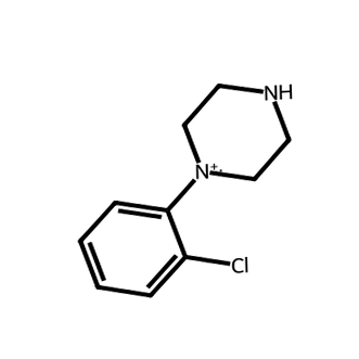 Clc1ccccc1[N+]1CCNCC1